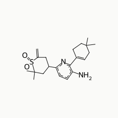 C=C1CC(c2ccc(N)c(C3=CCC(C)(C)CC3)n2)CC(C)(C)S1(=O)=O